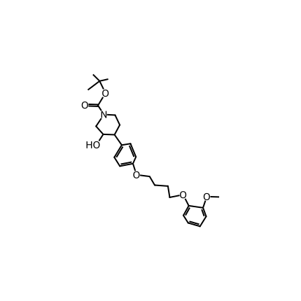 COc1ccccc1OCCCCOc1ccc(C2CCN(C(=O)OC(C)(C)C)CC2O)cc1